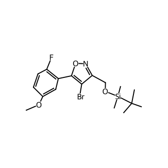 COc1ccc(F)c(-c2onc(CO[Si](C)(C)C(C)(C)C)c2Br)c1